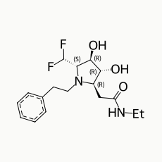 CCNC(=O)C[C@@H]1[C@@H](O)[C@H](O)[C@@H](C(F)F)N1CCc1ccccc1